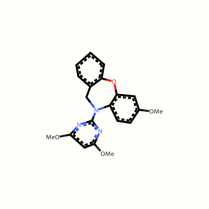 COc1ccc2c(c1)Oc1ccccc1CN2c1nc(OC)cc(OC)n1